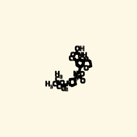 CC(C)(C)OC(=O)N1CC[C@H](n2nc(-c3cc(Cl)c(NC(=O)O)c4c3OCCO4)oc2=O)C1